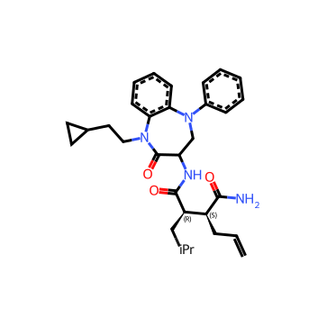 C=CC[C@H](C(N)=O)[C@@H](CC(C)C)C(=O)NC1CN(c2ccccc2)c2ccccc2N(CCC2CC2)C1=O